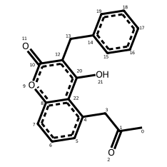 CC(=O)Cc1cccc2oc(=O)c(Cc3ccccc3)c(O)c12